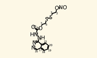 O=NOCCSSCCOC(=O)NNc1nncc2ccccc12